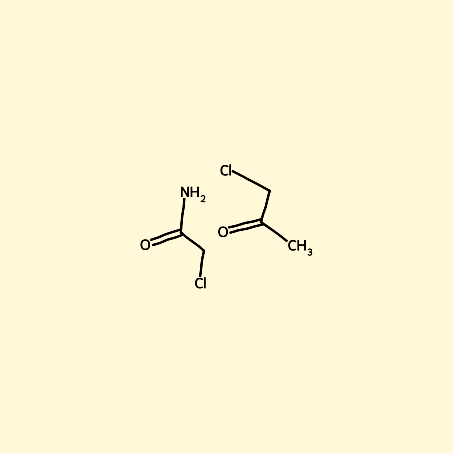 CC(=O)CCl.NC(=O)CCl